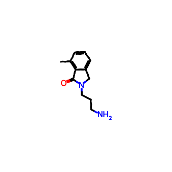 Cc1cccc2c1C(=O)N(CCCN)C2